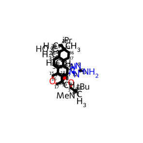 CN[C@@](C)(CO[C@H]1[C@H](n2nnc(N)n2)C[C@@]23COC[C@]1(C)[C@@H]2CC[C@H]1C3=CC[C@@]2(C)[C@H](C(=O)O)[C@@](C)([C@H](C)C(C)C)CC[C@]12C)C(C)(C)C